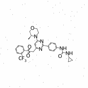 C[C@H]1COCCN1c1cc(CS(=O)(=O)c2ccccc2C(F)(F)F)nc(-c2ccc(NC(=O)NC3CC3)cc2)n1